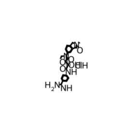 CN1Cc2ccc(N3CCO[C@H]([C@@H](O)C(=O)Nc4ccc(C(=N)N)cc4)C3=O)cc2C1=O.Cl